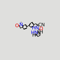 CN1C(=O)Cc2ccc(-c3ccc(C[C@@H](C#N)NC(=O)[C@H]4N[C@@H]5CC[C@H]4C5)cc3)cc21